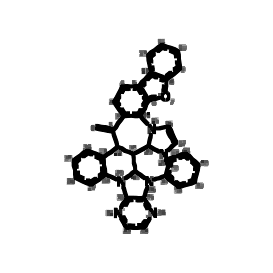 C=C1c2ccc3c(oc4ccccc43)c2N2C=CN(C)C2C2C1c1ccccc1N1c3nccnc3N(c3ccccc3)C21